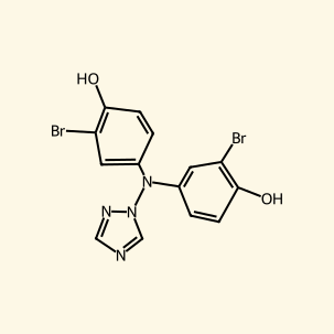 Oc1ccc(N(c2ccc(O)c(Br)c2)n2cncn2)cc1Br